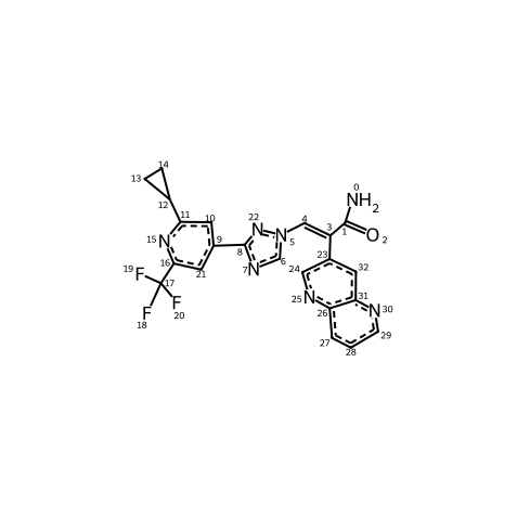 NC(=O)/C(=C/n1cnc(-c2cc(C3CC3)nc(C(F)(F)F)c2)n1)c1cnc2cccnc2c1